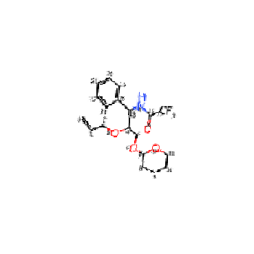 C=CCOC(COC1CCCCO1)C(NC(=O)C(F)(F)F)c1ccccc1